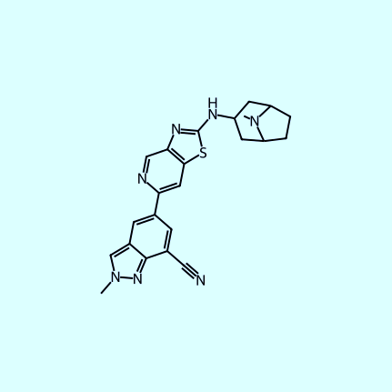 CN1C2CCC1CC(Nc1nc3cnc(-c4cc(C#N)c5nn(C)cc5c4)cc3s1)C2